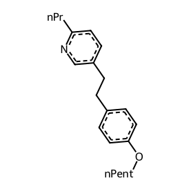 CCCCCOc1ccc(CCc2ccc(CCC)nc2)cc1